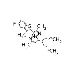 C=CCCC(CCC=C)c1cc(C)nn2c(-c3sc4ccc(F)cc4c3C)c(C)nc12